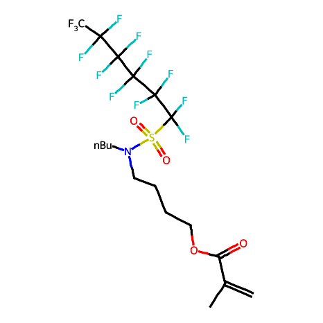 C=C(C)C(=O)OCCCCN(CCCC)S(=O)(=O)C(F)(F)C(F)(F)C(F)(F)C(F)(F)C(F)(F)C(F)(F)F